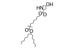 CCCCCCC(CCCCCC)OC(=O)C(C)(C)CCCCCCOC(=O)[C@@H]1C[C@H](O)CN1